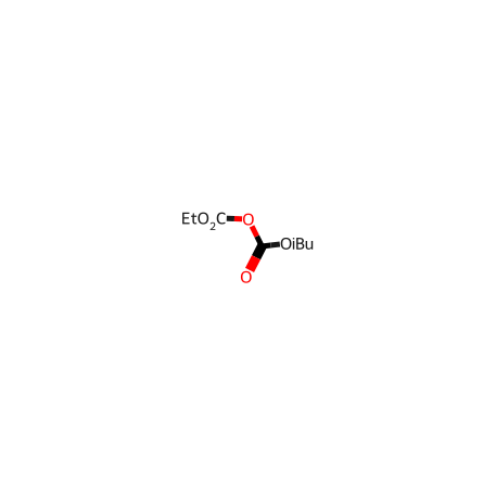 CCOC(=O)OC(=O)OCC(C)C